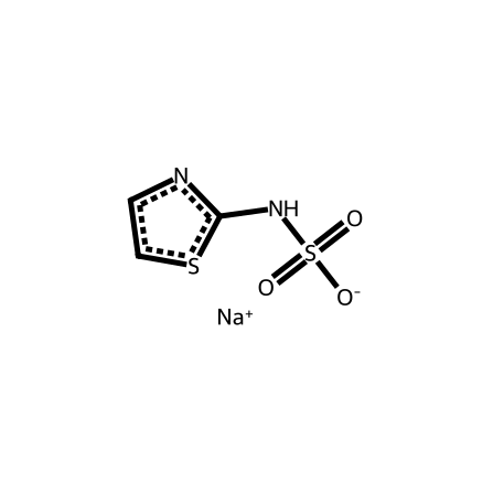 O=S(=O)([O-])Nc1nccs1.[Na+]